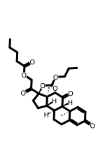 CCCCC(=O)OCC(=O)[C@@]1(OC(=O)OCCC)CC[C@H]2[C@@H]3CCC4=CC(=O)C=C[C@]4(C)[C@H]3C(=O)C[C@@]21C